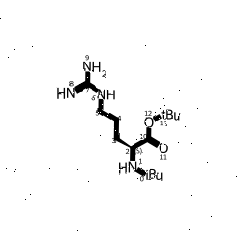 CCC(C)N[C@@H](CCCNC(=N)N)C(=O)OC(C)(C)C